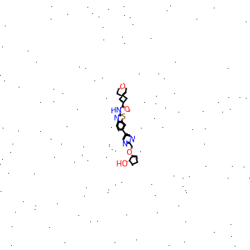 O=C(Nc1nc2ccc(-c3cnc(CO[C@H]4CCC[C@@H]4O)nc3)cc2s1)C1CC2(CCOCC2)C1